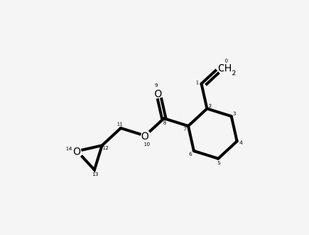 C=CC1CCCCC1C(=O)OCC1CO1